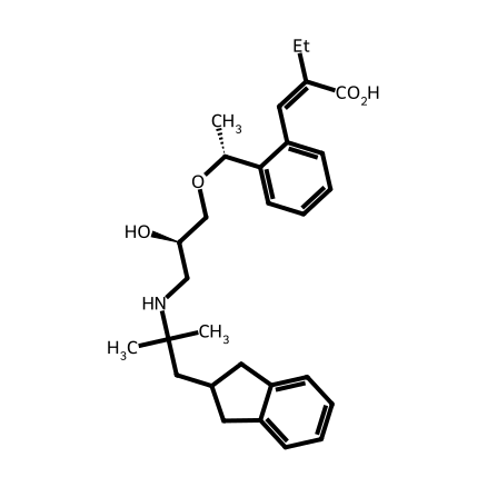 CCC(=Cc1ccccc1[C@@H](C)OC[C@H](O)CNC(C)(C)CC1Cc2ccccc2C1)C(=O)O